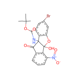 CC(C)(C)OC(=O)NC12C(=O)c3cccc([N+](=O)[O-])c3C1(O)Oc1cc(Br)ccc12